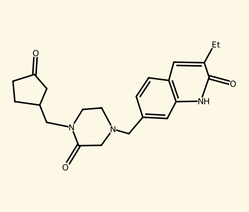 CCc1cc2ccc(CN3CCN(CC4CCC(=O)C4)C(=O)C3)cc2[nH]c1=O